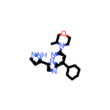 CC1COCCN1c1cc(C2CCCCC2)c2ncc(-c3ccn[nH]3)n2n1